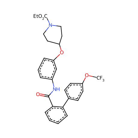 CCOC(=O)N1CCC(Oc2cccc(NC(=O)c3ccccc3-c3ccc(OC(F)(F)F)cc3)c2)CC1